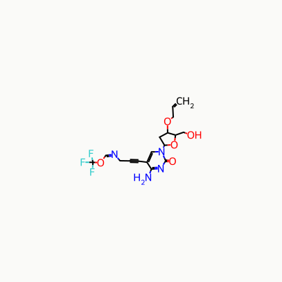 C=CCOC1CC(n2cc(C#CC/N=C\OC(F)(F)F)c(N)nc2=O)OC1CO